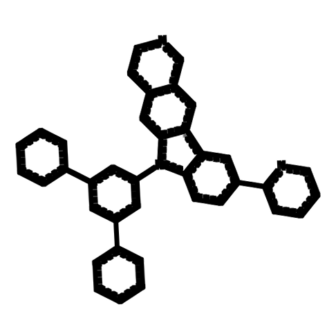 c1ccc(-c2cc(-c3ccccc3)cc(-n3c4ccc(-c5ccccn5)cc4c4cc5cnccc5cc43)c2)cc1